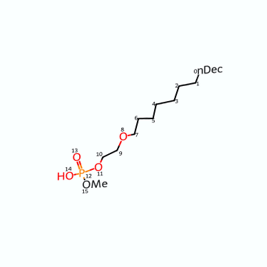 CCCCCCCCCCCCCCCCCOCCOP(=O)(O)OC